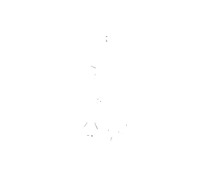 C#CCCOC(=O)N1CCC(N2CCC3(CC2)CN(C(=O)N(C)C)c2ccc(F)cc23)CC1